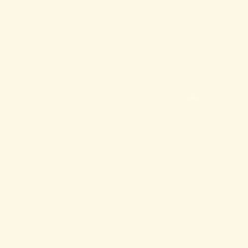 FCCC=CC1CCC(C2CCC(CCc3ccc(OC(F)F)cc3)CC2)CC1